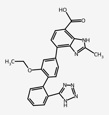 CCOc1cc(-c2ccc(C(=O)O)c3[nH]c(C)nc23)ccc1-c1ccccc1-c1nnn[nH]1